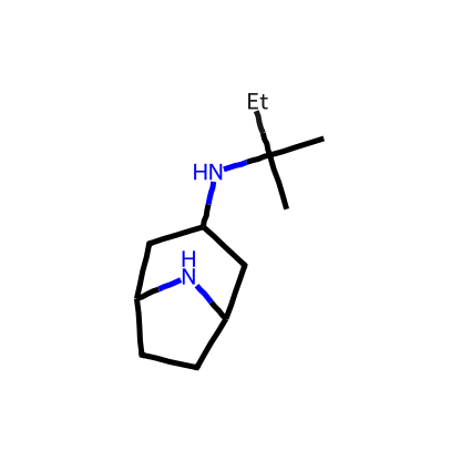 CCC(C)(C)NC1CC2CCC(C1)N2